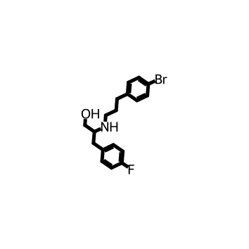 OCC(Cc1ccc(F)cc1)NCCCc1ccc(Br)cc1